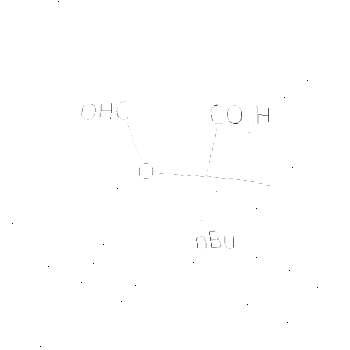 CCCC[C@](C)(OC=O)C(=O)O